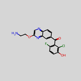 NCCOc1cnc2ccc(C(=O)c3c(F)ccc(O)c3Cl)cc2n1